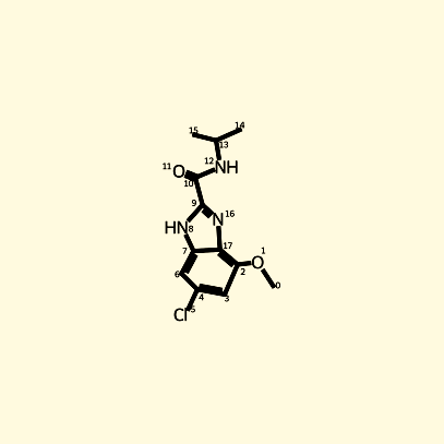 COc1cc(Cl)cc2[nH]c(C(=O)NC(C)C)nc12